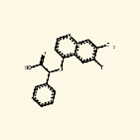 Cc1cc2nccc(OC(C(=O)O)c3ccccc3)c2cc1F